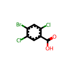 O=C(O)c1cc(Cl)c(Br)cc1Cl